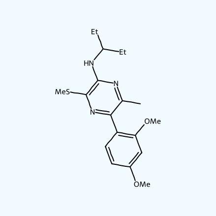 CCC(CC)Nc1nc(C)c(-c2ccc(OC)cc2OC)nc1SC